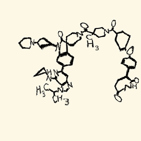 CC(C)n1cnc2cc(-c3ccc4c(c3)N(C3CC(N5CCCCC5)C3)C(=O)C43CCN(C(=O)C4(C)CCN(C(=O)C5CCC(Oc6ccc(C7CCC(=O)NC7=O)cc6)CC5)CC4)CC3)nc(NC3CC3)c21